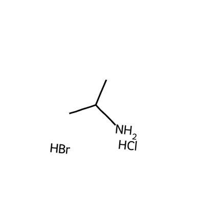 Br.CC(C)N.Cl